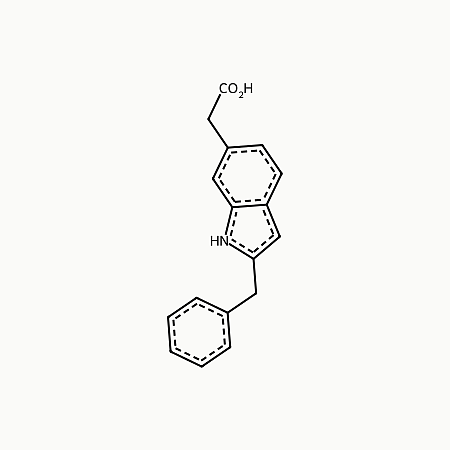 O=C(O)Cc1ccc2cc(Cc3ccccc3)[nH]c2c1